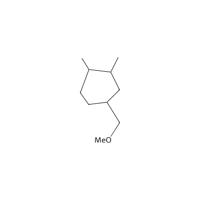 COCC1CCC(C)C(C)C1